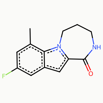 Cc1cc(F)cc2cc3n(c12)CCCNC3=O